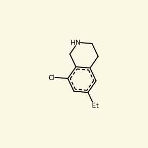 CCc1cc(Cl)c2c(c1)CCNC2